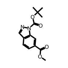 COC(=O)c1ccc2cnn(C(=O)OC(C)(C)C)c2c1